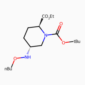 CCCCON[C@@H]1CC[C@@H](C(=O)OCC)N(C(=O)OC(C)(C)C)C1